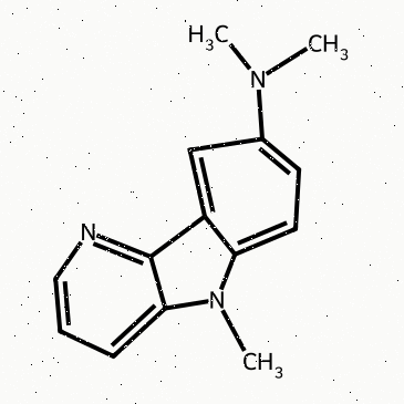 CN(C)c1ccc2c(c1)c1ncccc1n2C